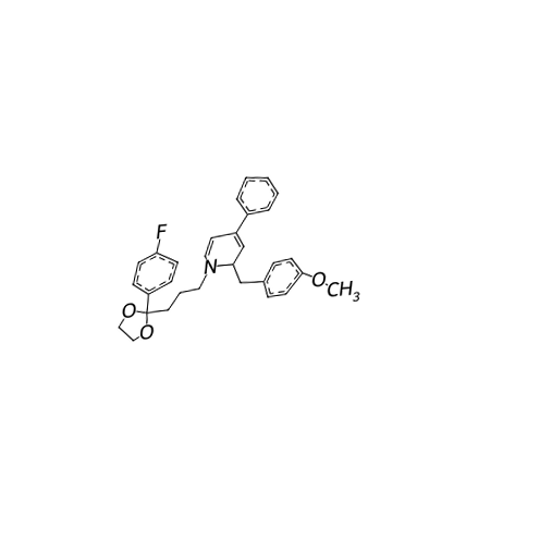 COc1ccc(CC2C=C(c3ccccc3)C=CN2CCCC2(c3ccc(F)cc3)OCCO2)cc1